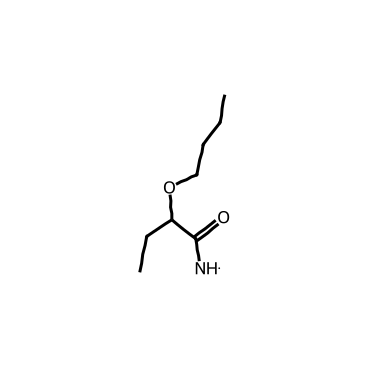 CCCCOC(CC)C([NH])=O